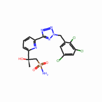 C[C@](O)(CS(N)(=O)=O)c1cccc(-c2nnn(Cc3cc(Cl)cc(Cl)c3Cl)n2)n1